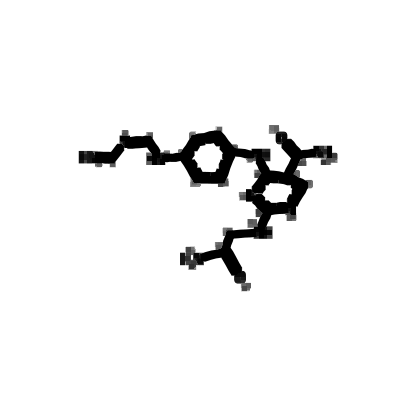 N=C/N=C\Nc1ccc(Nc2nc(NCC(N)=O)ncc2C(N)=O)cc1